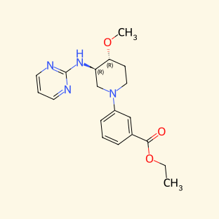 CCOC(=O)c1cccc(N2CC[C@@H](OC)[C@H](Nc3ncccn3)C2)c1